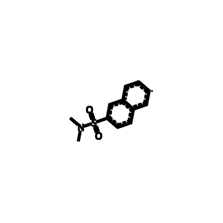 CN(C)S(=O)(=O)c1ccc2c[c]ccc2c1